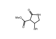 CCCC1CNC(=O)C1C(=O)OC